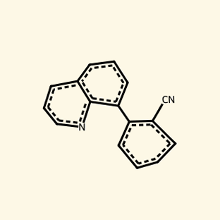 N#Cc1ccccc1-c1cccc2cccnc12